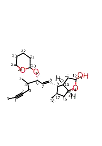 CC#CCC(C)[C@@H](/C=C/[C@@H]1[C@H]2CC(O)O[C@H]2C[C@H]1C)OC1CCCCO1